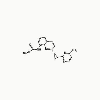 Cc1ccnc([C@H]2C[C@@H]2c2ccc3cccc(NC(=O)OC(C)(C)C)c3n2)n1